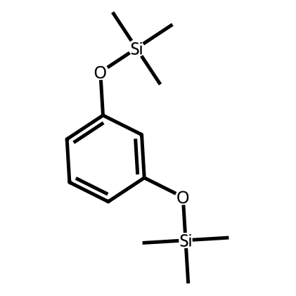 C[Si](C)(C)Oc1cccc(O[Si](C)(C)C)c1